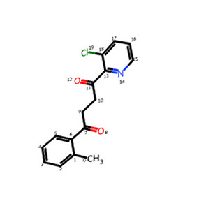 Cc1ccccc1C(=O)CCC(=O)c1ncccc1Cl